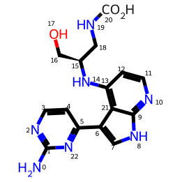 Nc1nccc(-c2c[nH]c3nccc(N[C@@H](CO)CNC(=O)O)c23)n1